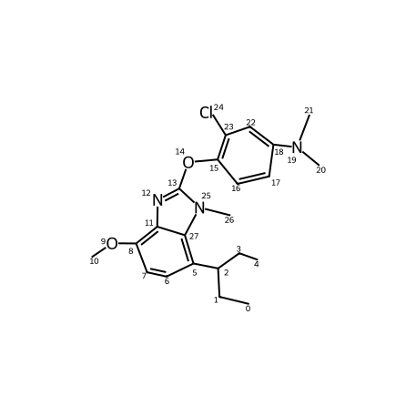 CCC(CC)c1ccc(OC)c2nc(Oc3ccc(N(C)C)cc3Cl)n(C)c12